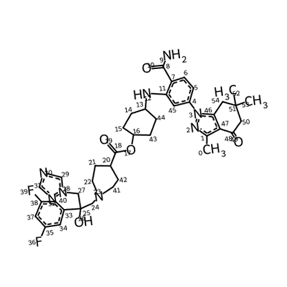 Cc1nn(-c2ccc(C(N)=O)c(NC3CCC(OC(=O)C4CCN(CC(O)(Cn5cncn5)c5cc(F)cc(F)c5)CC4)CC3)c2)c2c1C(=O)CC(C)(C)C2